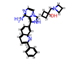 NC1=NC=CN2C1=C(c1ccc3ccc(-c4ccccc4)nc3c1)NC2[C@H]1C[C@](O)(CN2CCC2)C1